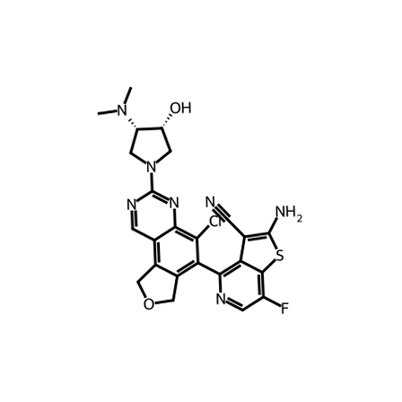 CN(C)[C@H]1CN(c2ncc3c4c(c(-c5ncc(F)c6sc(N)c(C#N)c56)c(Cl)c3n2)COC4)C[C@H]1O